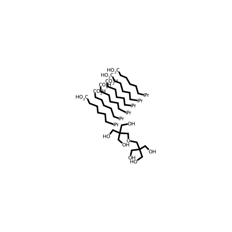 CC(C)CCCCCC(=O)O.CC(C)CCCCCC(=O)O.CC(C)CCCCCC(=O)O.CC(C)CCCCCC(=O)O.CC(C)CCCCCC(=O)O.CC(C)CCCCCC(=O)O.OCC(CO)(CO)COCC(CO)(CO)CO